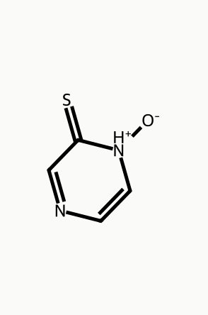 [O-][NH+]1C=CN=CC1=S